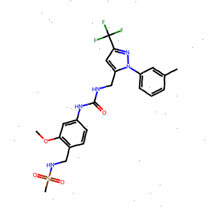 COc1cc(NC(=O)NCc2cc(C(F)(F)F)nn2-c2cccc(C)c2)ccc1CNS(C)(=O)=O